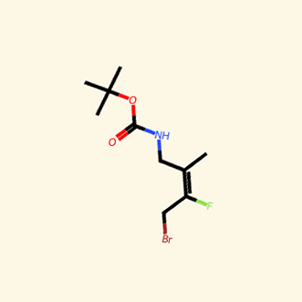 C/C(CNC(=O)OC(C)(C)C)=C(\F)CBr